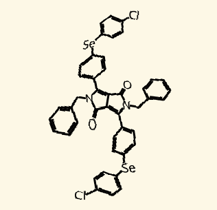 O=C1C2=C(c3ccc([Se]c4ccc(Cl)cc4)cc3)N(Cc3ccccc3)C(=O)C2=C(c2ccc([Se]c3ccc(Cl)cc3)cc2)N1Cc1ccccc1